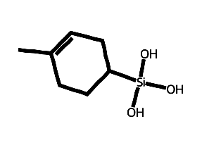 CC1=CCC([Si](O)(O)O)CC1